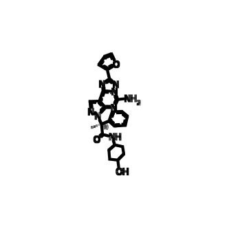 C[C@@](C(=O)NC1CCC(O)CC1)(c1ccccc1)n1ncc2c1nc(N)n1nc(-c3ccco3)nc21